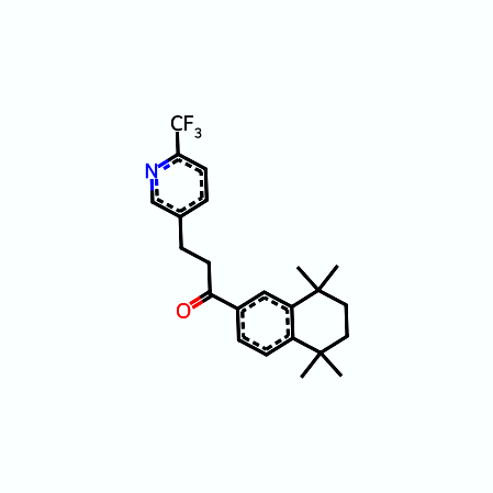 CC1(C)CCC(C)(C)c2cc(C(=O)CCc3ccc(C(F)(F)F)nc3)ccc21